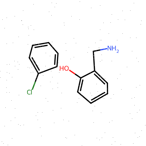 Clc1ccccc1.NCc1ccccc1O